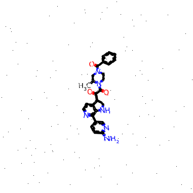 CC1CN(C(=O)c2ccccc2)CCN1C(=O)C(=O)C1CNc2c1ccnc2-c1ccc(N)nc1